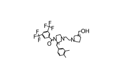 Cc1ccc(C[C@@H]2CN(CCN3CCC[C@H](CO)C3)CCN2C(=O)c2cc(C(F)(F)F)cc(C(F)(F)F)c2)cc1C